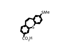 CSc1ccc2c(c1)C=Cc1ccc(C(=O)O)cc1S2